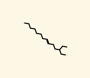 [CH2]CCCCCCC=CCCC(C[CH2])CC